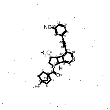 C[C@H]1CN(C(=O)C23CCC(F)(CC2)C3)[C@@H]2c3cncc(C#Cc4cccc(C#N)c4)c3C21